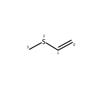 C=CSC